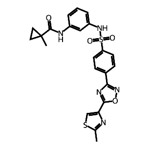 Cc1nc(-c2nc(-c3ccc(S(=O)(=O)Nc4cccc(NC(=O)C5(C)CC5)c4)cc3)no2)cs1